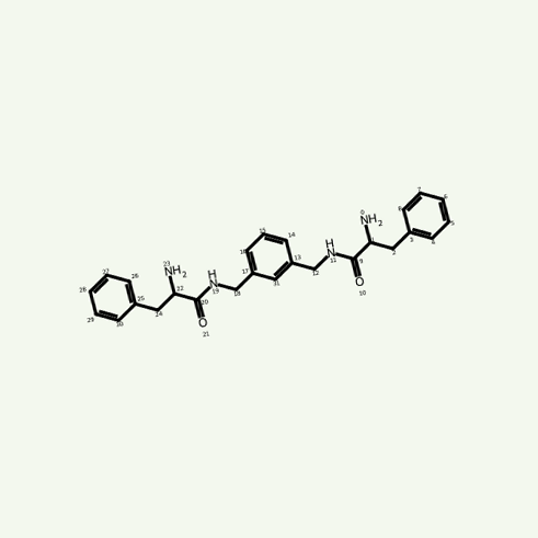 NC(Cc1ccccc1)C(=O)NCc1cccc(CNC(=O)C(N)Cc2ccccc2)c1